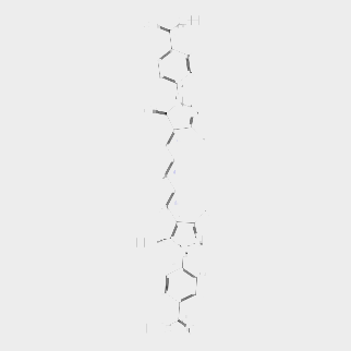 CC1=NN(c2ccc(C(=O)O)cc2)C(=O)/C1=C/C=C/C=C/c1c(C)nn(-c2ccc(C(=O)O)cc2)c1O